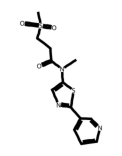 CN(C(=O)CCS(C)(=O)=O)c1cnc(-c2cccnc2)s1